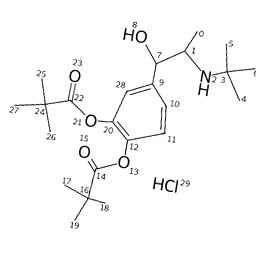 CC(NC(C)(C)C)C(O)c1ccc(OC(=O)C(C)(C)C)c(OC(=O)C(C)(C)C)c1.Cl